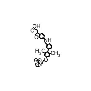 Cc1cc(OCCN2CCCS2(=O)=O)cc(C)c1-c1cccc(CNc2ccc3c(c2)OCC3CC(=O)O)c1